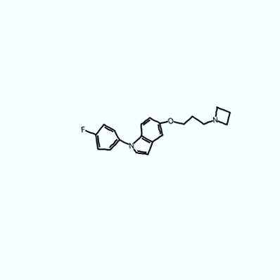 Fc1ccc(-n2ccc3cc(OCCCN4CCC4)ccc32)cc1